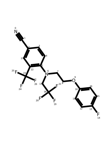 N#Cc1ccc(N(CCOc2ccc(F)cc2)CC(F)(F)F)c(C(F)(F)F)c1